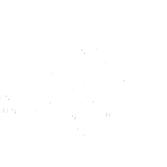 C=C(C(C(/C=C\N)=C/N)c1ccc2nc(Cl)c(-c3ccccc3)c(C)c2c1)N(C)/C=C\C